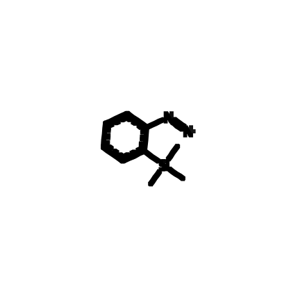 C[Si](C)(C)c1ccccc1N=[N]